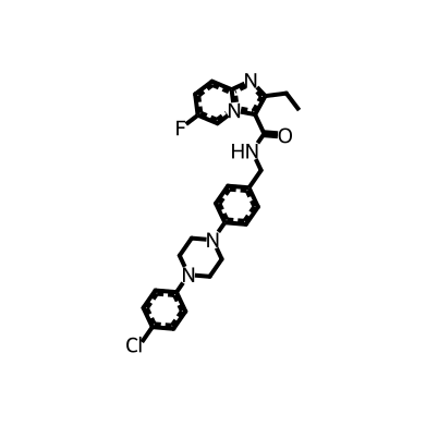 CCc1nc2ccc(F)cn2c1C(=O)NCc1ccc(N2CCN(c3ccc(Cl)cc3)CC2)cc1